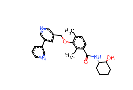 Cc1ccc(C(=O)N[C@H]2CCCC[C@@H]2O)c(C)c1OCc1cncc(-c2cccnc2)c1